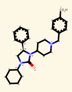 O=C(O)c1ccc(CN2CCC(N3C(=O)N(C4CCCCC4)C[C@H]3c3ccccc3)CC2)cc1